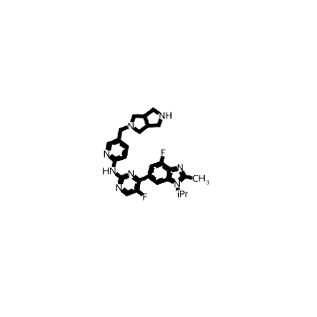 Cc1nc2c(F)cc(-c3nc(Nc4ccc(CN5CC6CNCC6C5)cn4)ncc3F)cc2n1C(C)C